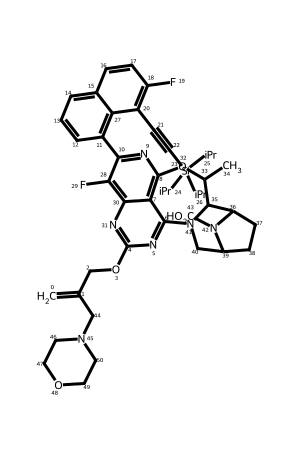 C=C(COc1nc2c3c(nc(-c4cccc5ccc(F)c(C#C[Si](C(C)C)(C(C)C)C(C)C)c45)c(F)c3n1)OC(C)C1C3CCC(CN21)N3C(=O)O)CN1CCOCC1